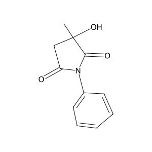 CC1(O)CC(=O)N(c2ccccc2)C1=O